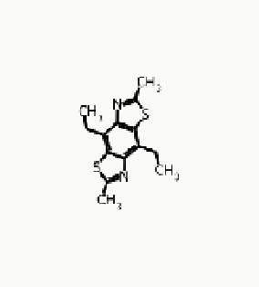 CCc1c2nc(C)sc2c(CC)c2nc(C)sc12